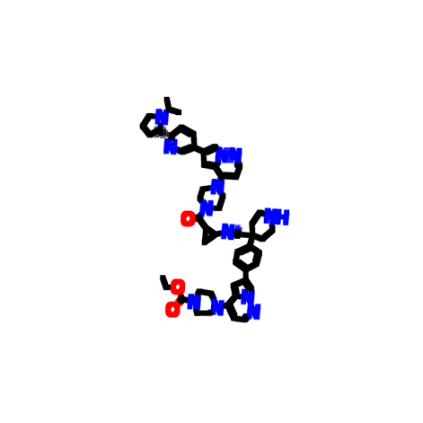 CCOC(=O)N1CCN(c2ccnn3cc(-c4ccc(C5(C#[N+]C6CC6C(=O)N6CCN(c7ccnn8cc(-c9ccc([C@@H]%10CCCN%10C(C)C)nc9)cc78)CC6)CCNCC5)cc4)cc23)CC1